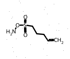 C=CCCCS(=O)(=O)ON